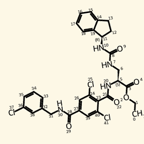 CCOC(=O)[C@H](CNC(=O)N[C@@H]1CCc2ccccc21)NC(=O)c1c(Cl)cc(C(=O)NCc2cccc(Cl)c2)cc1Cl